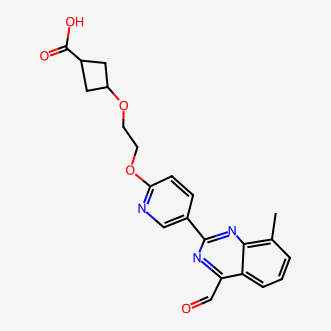 Cc1cccc2c(C=O)nc(-c3ccc(OCCOC4CC(C(=O)O)C4)nc3)nc12